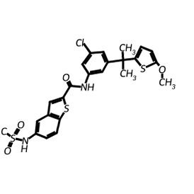 COc1ccc(C(C)(C)c2cc(Cl)cc(NC(=O)c3cc4cc(NS(C)(=O)=O)ccc4s3)c2)s1